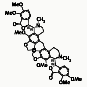 COc1ccc2c(c1OC)C(=O)O[C@@H]2[C@H]1c2c(c(Cc3c4c(c(OC)c5c3OCO5)[C@H]([C@H]3OC(=O)c5c3ccc(OC)c5OC)N(C)CC4)c3c(c2OC)OCO3)CCN1C